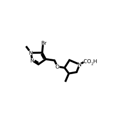 CC1CN(C(=O)O)CC1OCc1cnn(C)c1Br